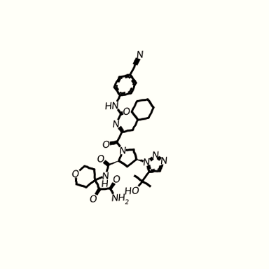 CC(C)(O)c1cnnn1[C@H]1C[C@@H](C(=O)NC2(C(=O)C(N)=O)CCOCC2)N(C(=O)/C(CC2CCCCC2)=N/C(=O)Nc2ccc(C#N)cc2)C1